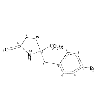 CCOC(=O)C1(Cc2ccc(Br)cc2)CCC(=O)N1